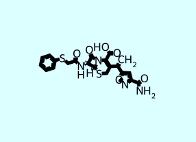 C=C(C1=C(C(=O)O)N2C(=O)[C@@H](NC(=O)CSc3ccccc3)[C@H]2SC1)c1cc(C(N)=O)no1